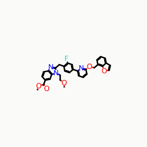 COCCn1c(Cc2ccc(-c3cccc(OCc4cccc5ccoc45)n3)cc2F)nc2ccc(C(=O)OC)cc21